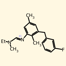 CCN(C)/C=N/c1cc(C)cc(Cc2cccc(F)c2)c1C